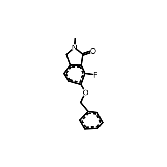 CN1Cc2ccc(OCc3ccccc3)c(F)c2C1=O